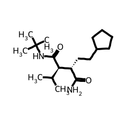 CC(C)[C@@H](C(=O)NC(C)(C)C)[C@H](CCC1CCCC1)C(N)=O